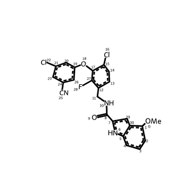 COc1cccc2[nH]c(C(=O)NCc3ccc(Cl)c(Oc4cc(Cl)cc(C#N)c4)c3F)cc12